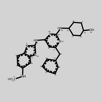 O=C(O)Nc1ccc2nc(Nc3cc(Cc4ccccc4)nc(NC4CCC(O)CC4)n3)sc2c1